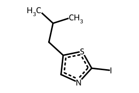 CC(C)Cc1cnc(I)s1